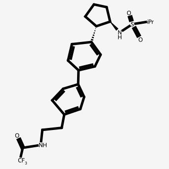 CC(C)S(=O)(=O)N[C@@H]1CCC[C@H]1c1ccc(-c2ccc(CCNC(=O)C(F)(F)F)cc2)cc1